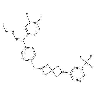 CCON=C(c1ccc(F)c(F)c1)c1ccc(CN2CC3(C2)CN(c2cncc(C(F)(F)F)c2)C3)cn1